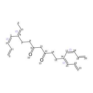 C=C/C=C\C(=C/C)CCC(=O)CC(=O)CCC(/C=C\C=C)=C/C=C